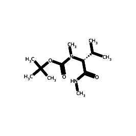 CNC(=O)[C@@H](C(C)C)N(C)C(=O)OC(C)(C)C